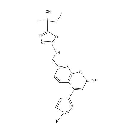 CC[C@](C)(O)c1nnc(NCc2ccc3c(-c4ccc(F)cc4)cc(=O)oc3c2)o1